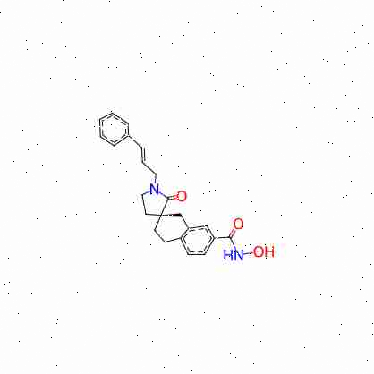 O=C(NO)c1ccc2c(c1)C[C@@]1(CC2)CCN(C/C=C/c2ccccc2)C1=O